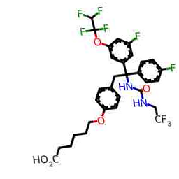 O=C(O)CCCCCOc1ccc(CC(NC(=O)NCC(F)(F)F)(c2ccc(F)cc2)c2cc(F)cc(OC(F)(F)C(F)F)c2)cc1